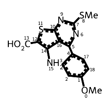 COc1ccc(-c2nc(SC)nc3sc(C(=O)O)c(N)c23)cc1